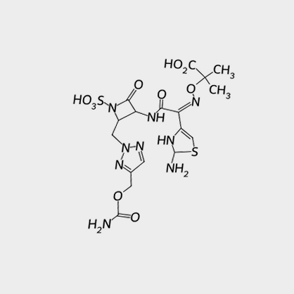 CC(C)(O/N=C(\C(=O)NC1C(=O)N(S(=O)(=O)O)C1Cn1ncc(COC(N)=O)n1)C1=CSC(N)N1)C(=O)O